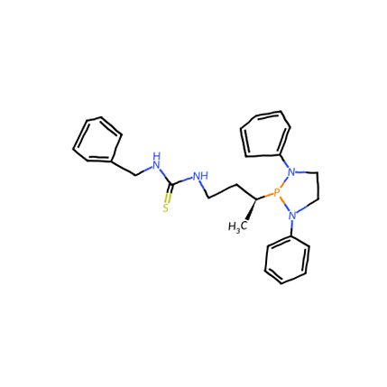 C[C@@H](CCNC(=S)NCc1ccccc1)P1N(c2ccccc2)CCN1c1ccccc1